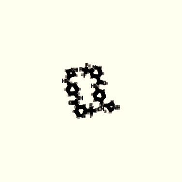 CN(c1ccc(NC(=O)c2ccnc(C(F)(F)F)c2)cc1)C1CNC1.O=C(Nc1ccc(NC2CNC2)cc1)c1ccnc(C(F)(F)F)c1